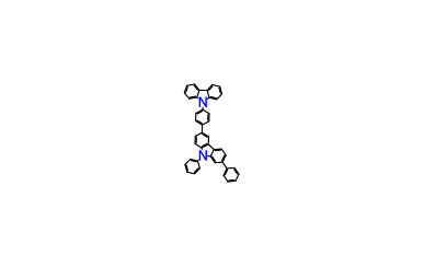 c1ccc(-c2ccc3c4cc(-c5ccc(-n6c7ccccc7c7ccccc76)cc5)ccc4n(-c4ccccc4)c3c2)cc1